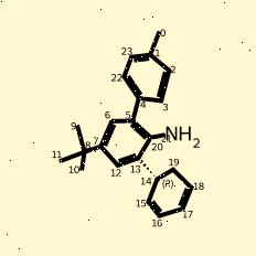 Cc1ccc(-c2cc(C(C)(C)C)cc([C@H]3C=CC=CC3)c2N)cc1